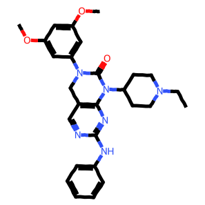 CCN1CCC(N2C(=O)N(c3cc(OC)cc(OC)c3)Cc3cnc(Nc4ccccc4)nc32)CC1